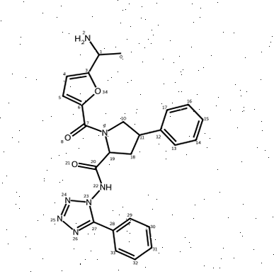 CC(N)c1ccc(C(=O)N2CC(c3ccccc3)CC2C(=O)Nn2nnnc2-c2ccccc2)o1